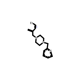 C=C(/C=C\CC)CN1CCN(Cc2ccccn2)CC1